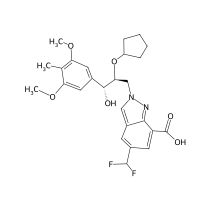 COc1cc([C@@H](O)[C@H](Cn2cc3cc(C(F)F)cc(C(=O)O)c3n2)OC2CCCC2)cc(OC)c1C